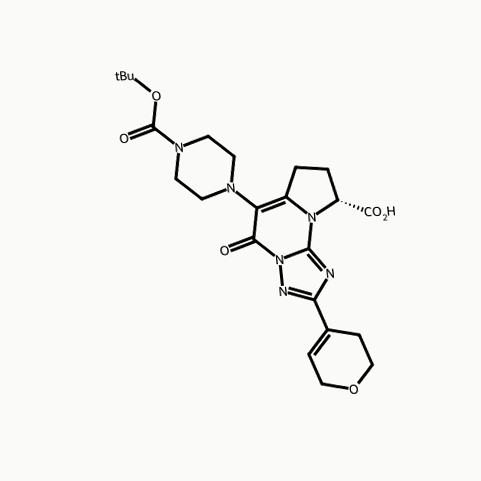 CC(C)(C)OC(=O)N1CCN(c2c3n(c4nc(C5=CCOCC5)nn4c2=O)[C@@H](C(=O)O)CC3)CC1